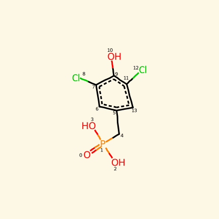 O=P(O)(O)Cc1cc(Cl)c(O)c(Cl)c1